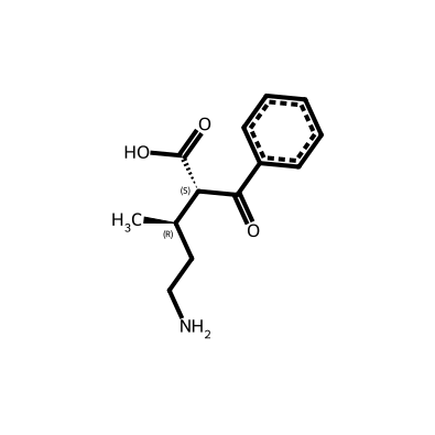 C[C@H](CCN)[C@H](C(=O)O)C(=O)c1ccccc1